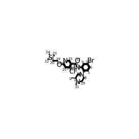 C[C@H]1CN(c2ccc(Br)cc2NC(=O)c2cnc(OCC[Si](C)(C)C)cc2C(F)(F)F)CCN1C